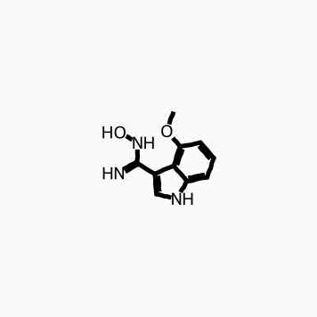 COc1cccc2[nH]cc(C(=N)NO)c12